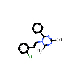 Clc1ccccc1C=CN1C(C(Cl)(Cl)Cl)=NC(C(Cl)(Cl)Cl)=NC1c1ccccc1